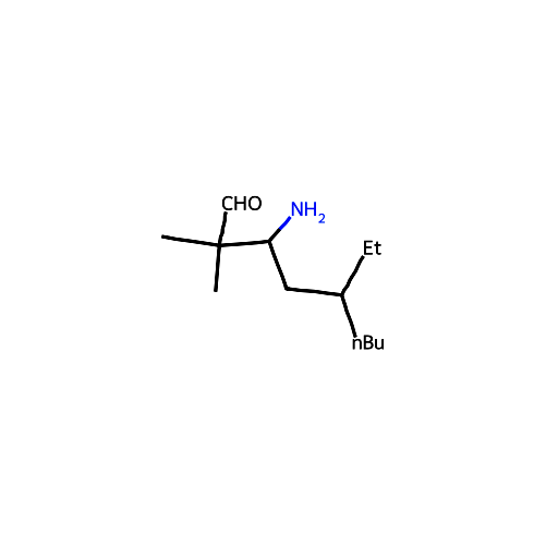 CCCCC(CC)CC(N)C(C)(C)C=O